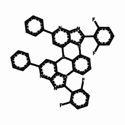 Fc1cccc(F)c1-c1nc2nc(-c3ccccc3)cc3c2n1-c1cccc2c1B3c1cc(-c3ccccc3)nc3nc(-c4c(F)cccc4F)n-2c13